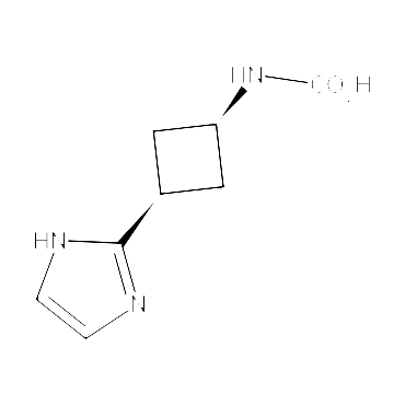 O=C(O)N[C@H]1C[C@@H](c2ncc[nH]2)C1